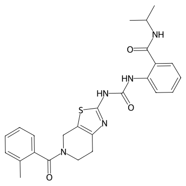 Cc1ccccc1C(=O)N1CCc2nc(NC(=O)Nc3ccccc3C(=O)NC(C)C)sc2C1